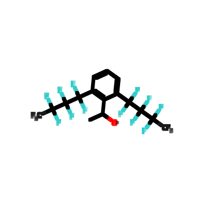 CC([O])c1c(C(F)(F)C(F)(F)C(F)(F)C(F)(F)F)cccc1C(F)(F)C(F)(F)C(F)(F)C(F)(F)F